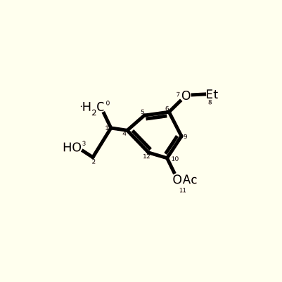 [CH2]C(CO)c1cc(OCC)cc(OC(C)=O)c1